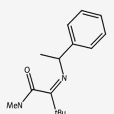 CNC(=O)C(=NC(C)c1ccccc1)C(C)(C)C